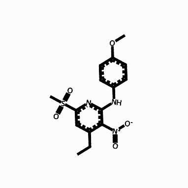 CCc1cc(S(C)(=O)=O)nc(Nc2ccc(OC)cc2)c1[N+](=O)[O-]